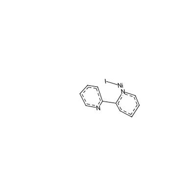 [Ni][I].c1ccc(-c2ccccn2)nc1